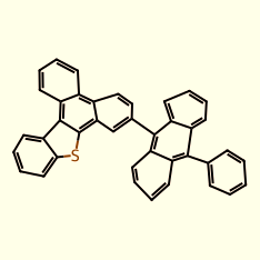 c1ccc(-c2c3ccccc3c(-c3ccc4c5ccccc5c5c6ccccc6sc5c4c3)c3ccccc23)cc1